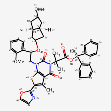 COc1ccccc1C(Cn1c(=O)n(C(C)(C)C(=O)O[Si](c2ccccc2)(c2ccccc2)C(C)(C)C)c(=O)c2c(C)c(-c3ncco3)sc21)OC1C[C@H]2CC(OC)C[C@H]2C1